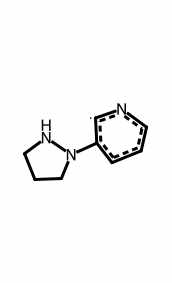 [c]1ncccc1N1CCCN1